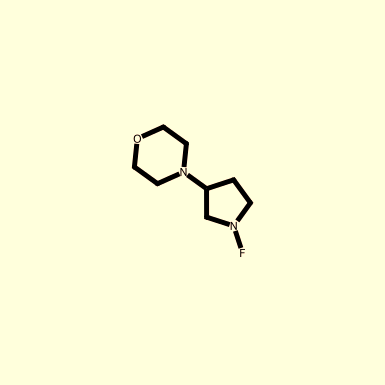 FN1CCC(N2CCOCC2)C1